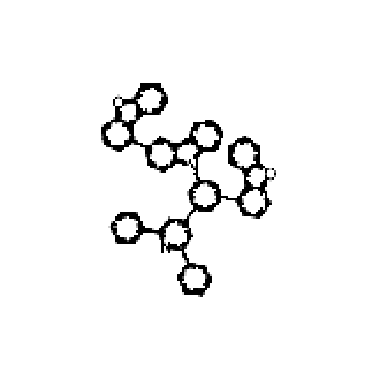 c1ccc(-c2cc(-c3cc(-c4cccc5oc6ccccc6c45)cc(-n4c5ccccc5c5cc(-c6cccc7oc8ccccc8c67)ccc54)c3)cc(-c3ccccc3)n2)cc1